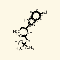 CCC(NC(=O)OC(C)(C)C)c1nc2cc(Cl)ccc2[nH]1